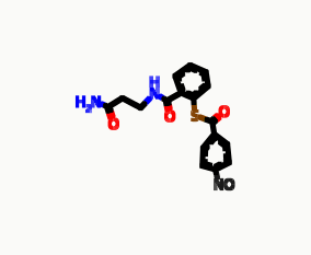 NC(=O)CCNC(=O)c1ccccc1SC(=O)c1ccc(N=O)cc1